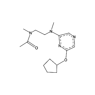 CC(=O)N(C)CCN(C)c1cncc(OC2CCCC2)n1